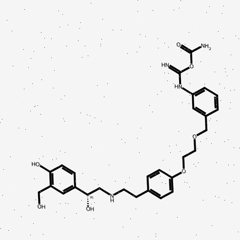 N=C(Nc1cccc(COCCOc2ccc(CCNC[C@H](O)c3ccc(O)c(CO)c3)cc2)c1)OC(N)=O